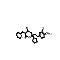 COc1ccc(CCC2(C3CCCC3)CC(=O)C(Cc3ccccn3)C(=O)O2)cc1Cl